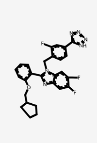 Fc1cc2nc(-c3ccccc3OCC3CCCC3)n(Cc3ccc(-c4nnn[nH]4)cc3F)c2cc1F